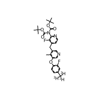 [2H]C([2H])([2H])c1ccc(Oc2cncc(Cc3ccnc(N(C(=O)OC(C)(C)C)C(=O)OC(C)(C)C)c3F)c2C)c(F)c1